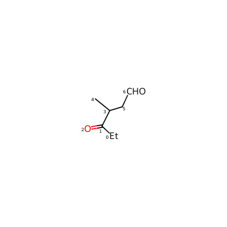 CCC(=O)C(C)CC=O